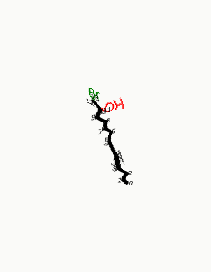 CCCCCCCCCCC(O)CBr